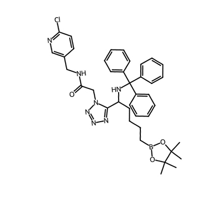 CC1(C)OB(CCCCC(NC(c2ccccc2)(c2ccccc2)c2ccccc2)c2nnnn2CC(=O)NCc2ccc(Cl)nc2)OC1(C)C